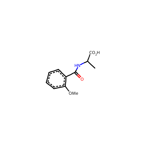 COc1ccccc1C(=O)NC(C)C(=O)O